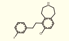 Fc1cccc(CCc2c(Cl)ccc3c2CCNCC3)c1